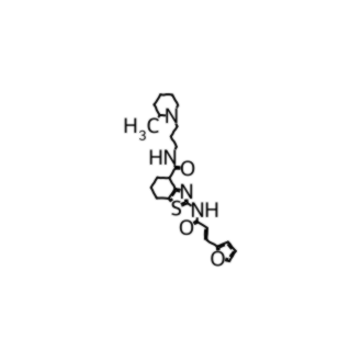 CC1CCCCN1CCCNC(=O)C1CCCc2sc(NC(=O)C=Cc3ccco3)nc21